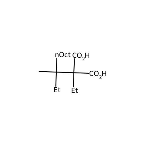 CCCCCCCCC(C)(CC)C(CC)(C(=O)O)C(=O)O